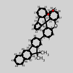 CC1(C)c2cc(-c3ccc4c(c3)C3(c5ccccc5-c5ccccc53)c3c(ccc5ccccc35)O4)ccc2-c2cc3ccccc3cc21